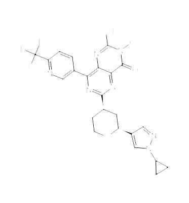 Cc1nc2c(-c3ccc(C(F)(F)F)nc3)nc([C@@H]3CCO[C@H](c4cnn(C5CC5)c4)C3)nc2c(=O)n1C